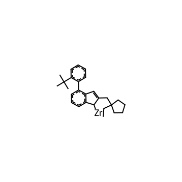 CCC1(CC2=Cc3c(-c4ccccc4C(C)(C)C)cccc3[CH]2[Zr])CCCC1